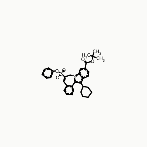 CC(C)(C)OC(=O)c1ccc2c(C3CCCCC3)c3n(c2c1)CC(S(=O)(=O)Oc1ccccc1)=Cc1ccccc1-3